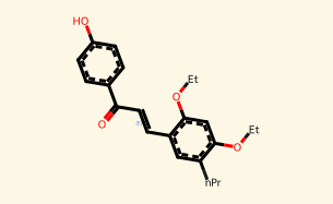 CCCc1cc(/C=C/C(=O)c2ccc(O)cc2)c(OCC)cc1OCC